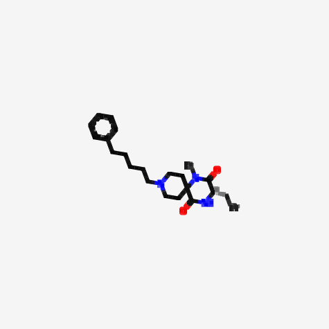 CCN1C(=O)[C@H](CC(C)C)NC(=O)C12CCN(CCCCCc1ccccc1)CC2